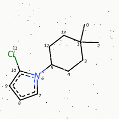 CC1(C)CCC(n2cccc2Cl)CC1